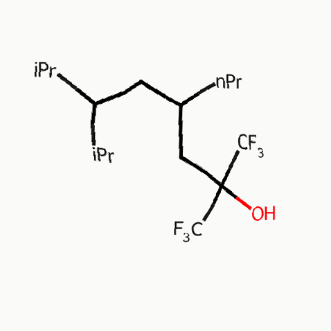 CCCC(CC(C(C)C)C(C)C)CC(O)(C(F)(F)F)C(F)(F)F